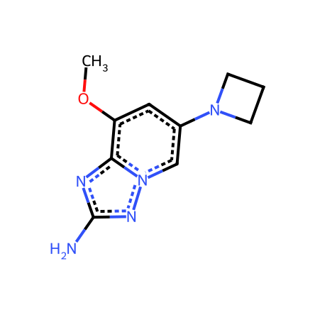 COc1cc(N2CCC2)cn2nc(N)nc12